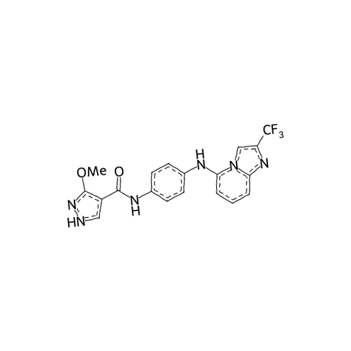 COc1n[nH]cc1C(=O)Nc1ccc(Nc2cccc3nc(C(F)(F)F)cn23)cc1